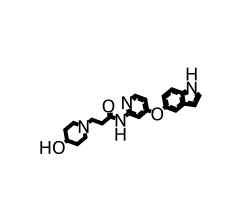 O=C(CCN1CCC(O)CC1)Nc1cc(Oc2ccc3[nH]ccc3c2)ccn1